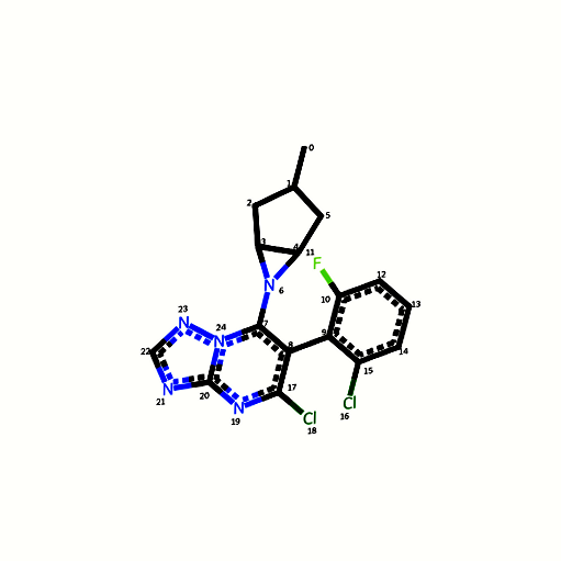 CC1CC2C(C1)N2c1c(-c2c(F)cccc2Cl)c(Cl)nc2ncnn12